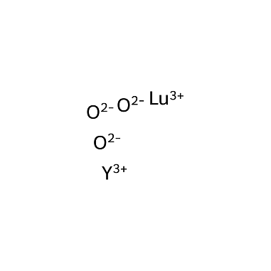 [Lu+3].[O-2].[O-2].[O-2].[Y+3]